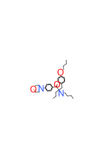 CCCCOc1ccc(CC(CCC)(C(=O)c2ccc(N3CCOCC3)cc2)N(C)CCCC)cc1